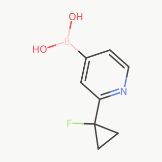 OB(O)c1ccnc(C2(F)CC2)c1